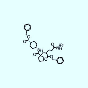 CC(C)NC(=O)CCC(CC1(C(=O)N[C@H]2CC[C@@H](C(=O)OCc3ccccc3)CC2)CCCC1)C(=O)OCc1ccccc1